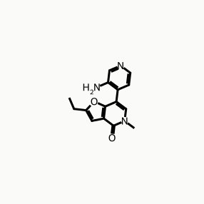 CCc1cc2c(=O)n(C)cc(-c3ccncc3N)c2o1